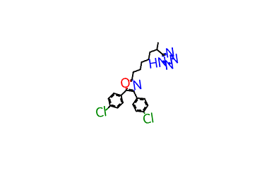 CC(CCCCCc1nc(-c2ccc(Cl)cc2)c(-c2ccc(Cl)cc2)o1)c1nnn[nH]1